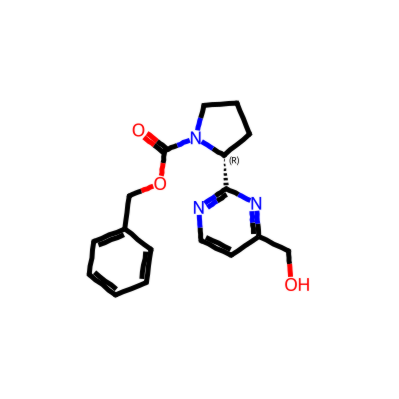 O=C(OCc1ccccc1)N1CCC[C@@H]1c1nccc(CO)n1